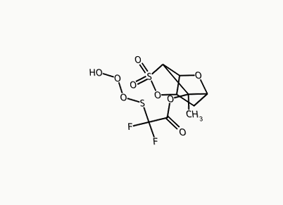 CC1(OC(=O)C(F)(F)SOOO)C2CC3OS(=O)(=O)C1C3O2